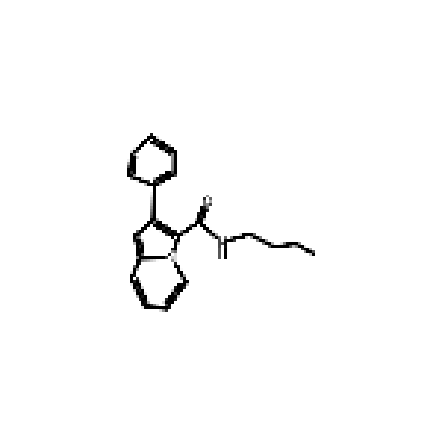 CCCCNC(=O)c1c(-c2ccccc2)cc2ccccn12